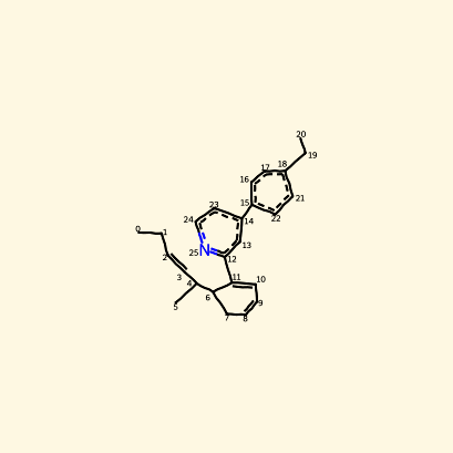 CCC=CC(C)C1CC=CC=C1c1cc(-c2ccc(CC)cc2)ccn1